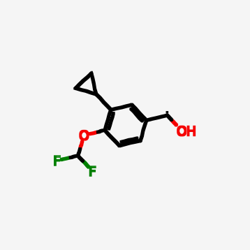 O[CH]c1ccc(OC(F)F)c(C2CC2)c1